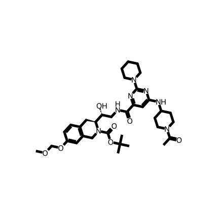 COCOc1ccc2c(c1)CN(C(=O)OC(C)(C)C)[C@H]([C@H](O)CNC(=O)c1cc(NC3CCN(C(C)=O)CC3)nc(N3CCCCC3)n1)C2